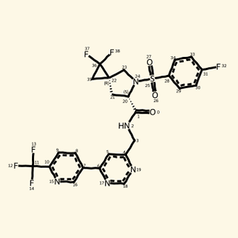 O=C(NCc1cc(-c2ccc(C(F)(F)F)nc2)ncn1)[C@@H]1C[C@]2(CN1S(=O)(=O)c1ccc(F)cc1)CC2(F)F